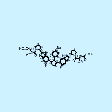 COC(=O)NC(C(=O)N1CCC[C@H]1c1nc2cc(F)c(C3=CCC(c4cc5[nH]c(C6CCCN6C(=O)[C@@H](NC(=O)O)C(C)C)nc5cc4F)C3c3ccc(C(C)(C)C)cc3)cc2[nH]1)C(C)C